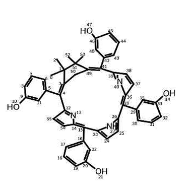 CC1(C)/C2=C(\c3cccc(O)c3)C3=N/C(=C(/c4cccc(O)c4)c4ccc([nH]4)/C(c4cccc(O)c4)=C4/C=CC(=N4)/C(c4cccc(O)c4)=C(\C2)C1(C)C)C=C3